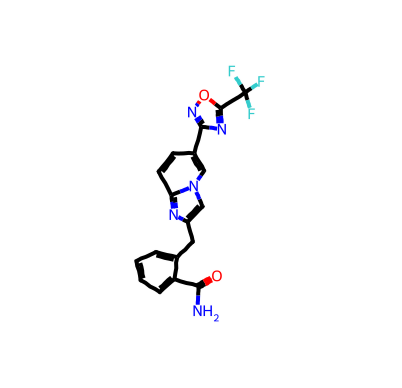 NC(=O)c1ccccc1Cc1cn2cc(-c3noc(C(F)(F)F)n3)ccc2n1